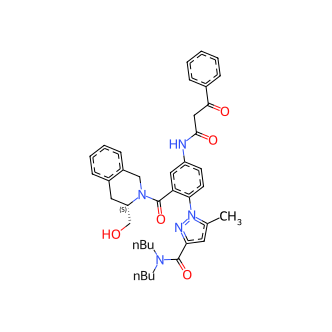 CCCCN(CCCC)C(=O)c1cc(C)n(-c2ccc(NC(=O)CC(=O)c3ccccc3)cc2C(=O)N2Cc3ccccc3C[C@H]2CO)n1